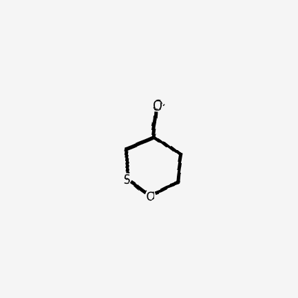 [O]C1CCOSC1